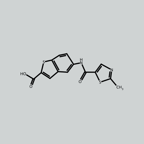 Cc1ncc(C(=O)Nc2ccc3sc(C(=O)O)cc3c2)s1